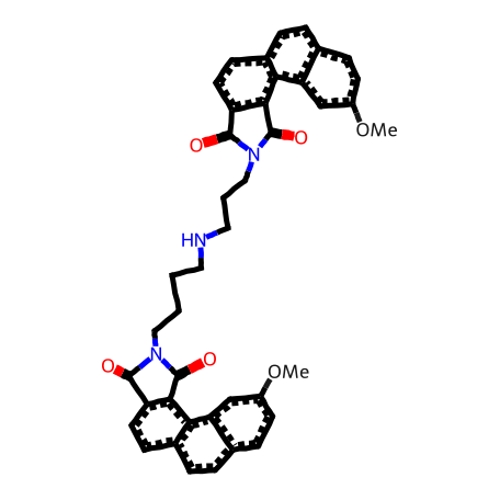 COc1ccc2ccc3ccc4c(c3c2c1)C(=O)N(CCCCNCCCN1C(=O)c2ccc3ccc5ccc(OC)cc5c3c2C1=O)C4=O